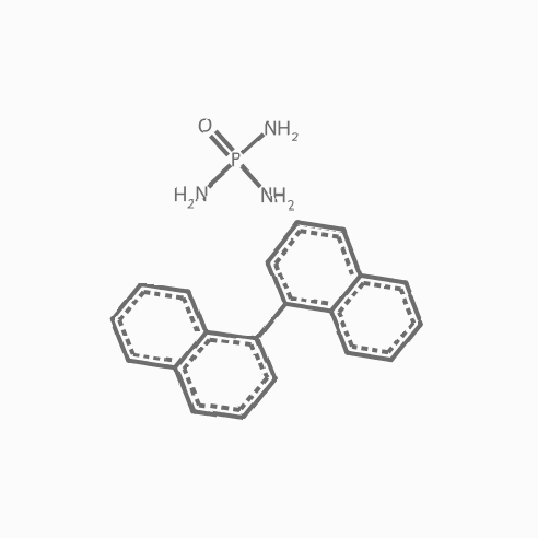 NP(N)(N)=O.c1ccc2c(-c3cccc4ccccc34)cccc2c1